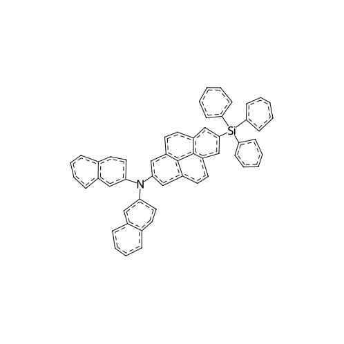 c1ccc([Si](c2ccccc2)(c2ccccc2)c2cc3ccc4cc(N(c5ccc6ccccc6c5)c5ccc6ccccc6c5)cc5ccc(c2)c3c45)cc1